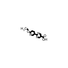 CCOc1ccc(-c2ncc(C(=O)O)cn2)cn1